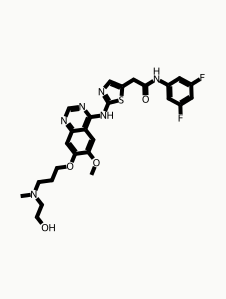 COc1cc2c(Nc3ncc(CC(=O)Nc4cc(F)cc(F)c4)s3)ncnc2cc1OCCCN(C)CCO